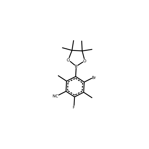 Cc1c(F)c(C#N)c(C)c(B2OC(C)(C)C(C)(C)O2)c1Br